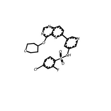 O=S(=O)(Nc1cncc(-c2ccc3ncnc(OC4CCOCC4)c3n2)c1)c1ccc(Cl)cc1F